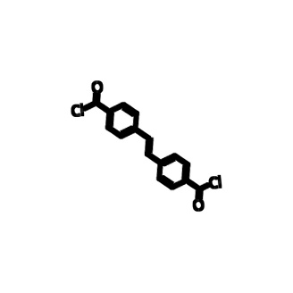 O=C(Cl)c1ccc(/C=C/c2ccc(C(=O)Cl)cc2)cc1